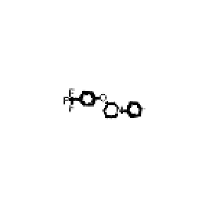 FC(F)(F)c1ccc(OC2CCCN(c3cc[c]cc3)C2)cc1